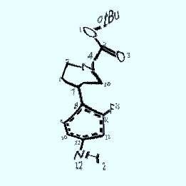 CC(C)(C)OC(=O)N1CCC(c2ccc(N)cc2F)C1